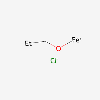 CCC[O][Fe+].[Cl-]